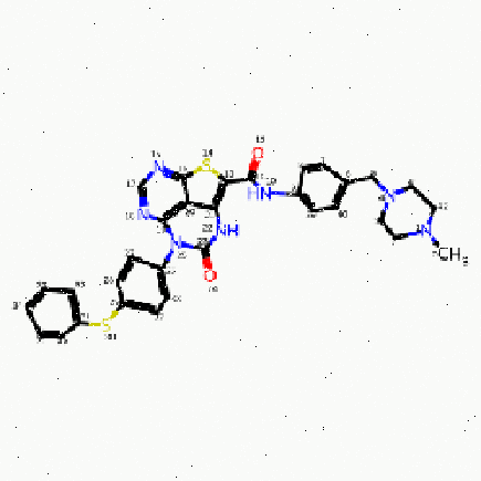 CN1CCN(Cc2ccc(NC(=O)c3sc4ncnc5c4c3NC(=O)N5c3ccc(Sc4ccccc4)cc3)cc2)CC1